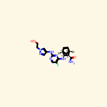 NC(=O)[C@H]1[C@@H](Nc2nc(Nc3cnn(CCO)c3)ncc2F)[C@@H]2C=C[C@H]1C2